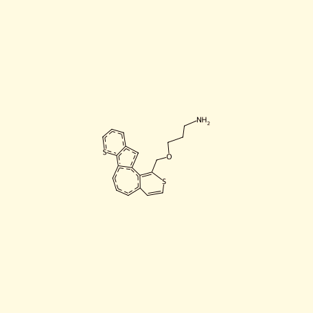 NCCCOCC1=c2c(cccc3c2cc2cccsc23)C=CS1